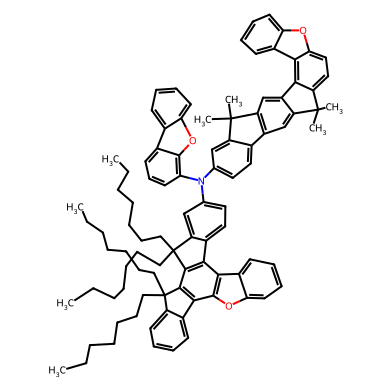 CCCCCCCC1(CCCCCCC)c2ccccc2-c2c1c1c(c3c2oc2ccccc23)-c2ccc(N(c3ccc4c(c3)C(C)(C)c3cc5c(cc3-4)C(C)(C)c3ccc4oc6ccccc6c4c3-5)c3cccc4c3oc3ccccc34)cc2C1(CCCCCCC)CCCCCCC